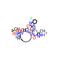 Cc1cc(C(=O)N[C@H]2CCCCCC=C[C@@H]3C[C@@]3(C(=O)NS(=O)(=O)C3(C)CC3)NC(=O)[C@@H]3C[C@@H](Oc4nc5c(F)cccc5nc4C)CN3C2=O)n[nH]1